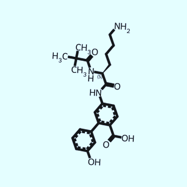 CC(C)(C)C(=O)N[C@@H](CCCCN)C(=O)Nc1ccc(C(=O)O)c(-c2cccc(O)c2)c1